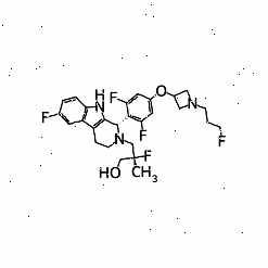 C[C@@](F)(CO)CN1CCc2c([nH]c3ccc(F)cc23)[C@@H]1c1c(F)cc(OC2CN(CCCF)C2)cc1F